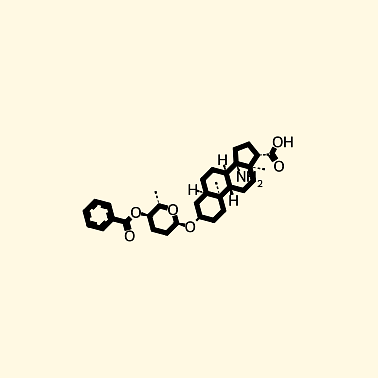 C[C@@H]1O[C@@H](O[C@H]2CC[C@@]3(C)[C@H](CC[C@@H]4[C@@H]3CC[C@]3(C)[C@@H](C(=O)O)CC[C@]43N)C2)CC[C@H]1OC(=O)c1ccccc1